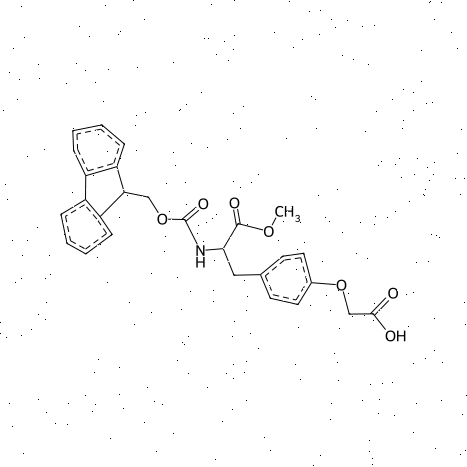 COC(=O)C(Cc1ccc(OCC(=O)O)cc1)NC(=O)OCC1c2ccccc2-c2ccccc21